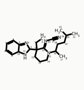 CCC1(C2N=C3C=CC=CC3N2)[CH]CCN(C(C)CCC(C)C)C1=NC#N